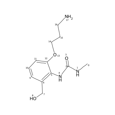 CNC(=O)Nc1c(CO)cccc1OCCCN